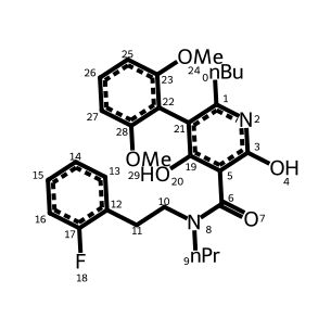 CCCCc1nc(O)c(C(=O)N(CCC)CCc2ccccc2F)c(O)c1-c1c(OC)cccc1OC